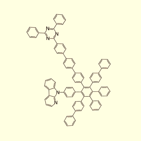 c1ccc(-c2ccc(-c3c(-c4ccccc4)c(-c4ccccc4)c(-c4ccc(-c5ccccc5)cc4)c(-c4ccc(-n5c6ccccc6c6cccnc65)cc4)c3-c3ccc(-c4ccc(-c5ccc(-c6nc(-c7ccccc7)nc(-c7ccccc7)n6)cc5)cc4)cc3)cc2)cc1